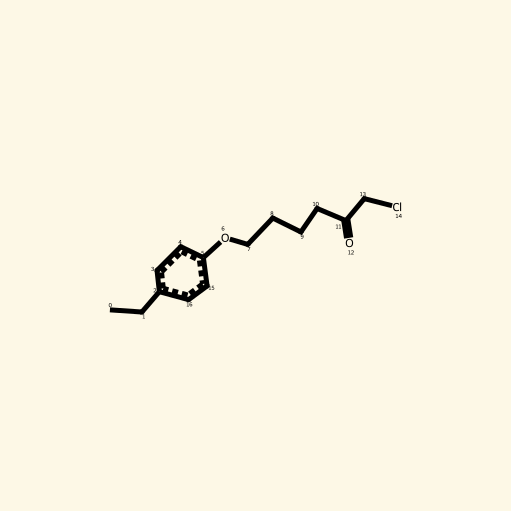 CCc1ccc(OCCCCC(=O)CCl)cc1